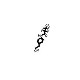 N#CCCc1ccc(NC(=O)C(F)(F)C(F)(F)C(F)(F)F)cc1